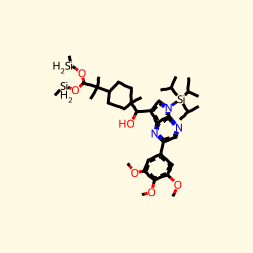 COc1cc(-c2cnc3c(n2)c(C(O)C2(C)CCC(C(C)(C)C(O[SiH2]C)O[SiH2]C)CC2)cn3[Si](C(C)C)(C(C)C)C(C)C)cc(OC)c1OC